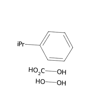 CC(C)c1ccccc1.O=C(O)O.OO